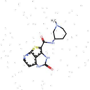 CN1CCC[C@@H](NC(=O)c2sc3nccc4c3c2NC(=O)N4)C1